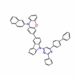 c1ccc(-c2ccc(-c3cc(-n4c5ccccc5c5cc(-c6ccc7c(c6)Oc6ccccc6N7c6ccc7ccccc7c6)ccc54)nc(-c4ccccc4)n3)cc2)cc1